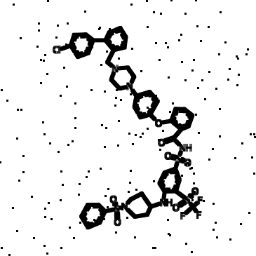 O=C(NS(=O)(=O)c1ccc(NC2CCN(S(=O)(=O)c3ccccc3)CC2)c(S(=O)(=O)C(F)(F)F)c1)c1ccccc1Oc1ccc(N2CCN(Cc3ccccc3-c3ccc(Cl)cc3)CC2)cc1